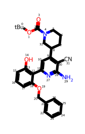 CC(C)(C)OC(=O)N1CCCC(c2cc(-c3c(O)cccc3OCc3ccccc3)nc(N)c2C#N)C1